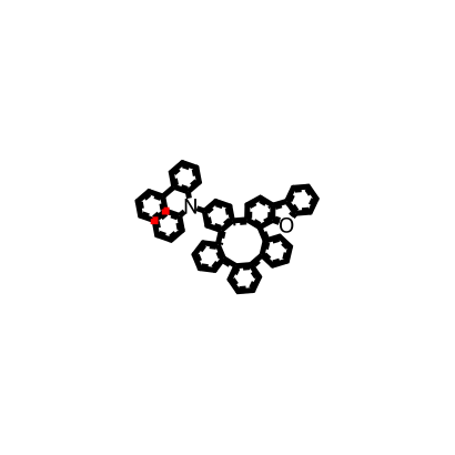 c1ccc(-c2ccccc2N(c2ccccc2)c2ccc3c(c2)c2ccccc2c2ccccc2c2ccccc2c2c3ccc3c4ccccc4oc32)cc1